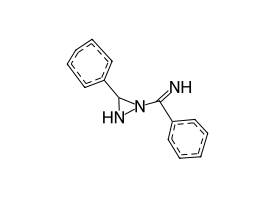 N=C(c1ccccc1)N1NC1c1ccccc1